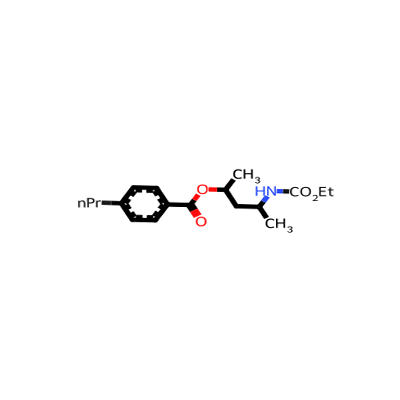 CCCc1ccc(C(=O)OC(C)CC(C)NC(=O)OCC)cc1